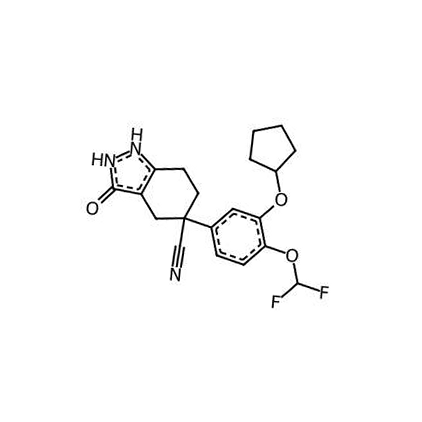 N#CC1(c2ccc(OC(F)F)c(OC3CCCC3)c2)CCc2[nH][nH]c(=O)c2C1